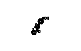 C[C@@H]1CCCN1C(=O)c1coc(-c2ccc(CO)cc2)n1